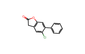 O=C1Cc2cc(Cl)c(-c3ccccc3)cc2O1